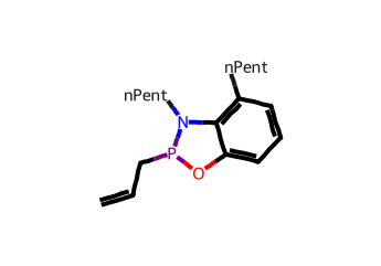 C=CCP1Oc2cccc(CCCCC)c2N1CCCCC